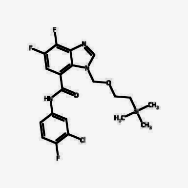 C[Si](C)(C)CCOCn1cnc2c(F)c(F)cc(C(=O)Nc3ccc(F)c(Cl)c3)c21